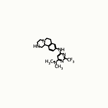 CN(C)c1cc(Nc2ccc3c(c2)CCN2CCNCC32)nc(C(F)(F)F)n1